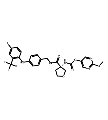 COc1ncc(OC(=O)N[C@@]2(C(=O)NCc3ccc(Nc4ccc(F)cc4C(F)(F)F)cc3)CCOC2)cn1